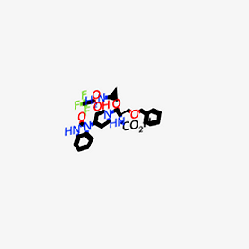 NC1CC1.O=C(O)C(F)(F)F.O=C(O)N[C@H](COCc1ccccc1)C(=O)N1CCC(n2c(=O)[nH]c3ccccc32)CC1